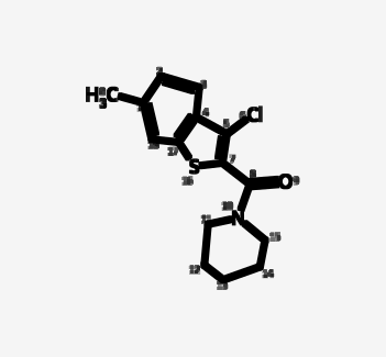 Cc1ccc2c(Cl)c(C(=O)N3CCCCC3)sc2c1